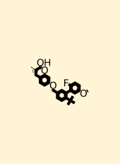 COc1ccc(F)c(-c2cc(COc3ccc(C[C@H](C)C(=O)O)cc3)ccc2C(C)(C)C)c1